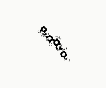 CCc1nc(NS(=O)(=O)c2ccccc2Cl)ccc1-c1cc2cnc(N[C@H]3CC[C@H](N)CC3)nc2cc1C